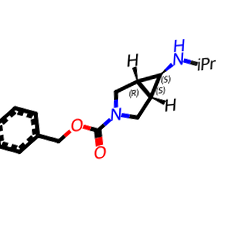 CC(C)N[C@H]1[C@@H]2CN(C(=O)OCc3ccccc3)C[C@@H]21